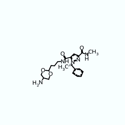 CNC(=O)c1cc(C(=O)NCCCC2OCC(N)CO2)n([C@@H](C)c2ccccc2)n1